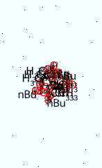 CCCCOOC(=O)OC(C)(C)C(C)(COC(=O)OCC(C)(C(C)(C)OC(=O)OOCCCC)C(C)(C)OC(=O)OOCCCC)C(C)(C)OC(=O)OOCCCC